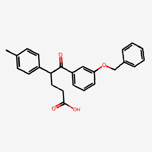 Cc1ccc(C(CCC(=O)O)C(=O)c2cccc(OCc3ccccc3)c2)cc1